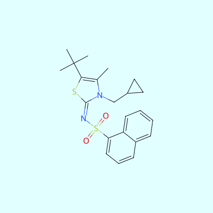 Cc1c(C(C)(C)C)sc(=NS(=O)(=O)c2cccc3ccccc23)n1CC1CC1